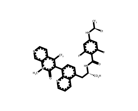 CC[C@@H](Nc1cc(F)c(C(=O)N[C@@H](Cc2ccc(-c3c(C(F)(F)F)c4ccncc4n(C)c3=O)c3ncccc23)C(=O)O)c(F)c1)C(F)(F)F